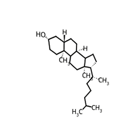 CC(C)CCC[C@@H](C)[C@H]1CCC2[C@@H]3CC[C@H]4C[C@@H](O)CC[C@]4(C)C3CC[C@@]21C